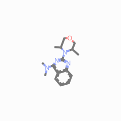 CC1COCC(C)N1c1nc(N(C)C)c2ccccc2n1